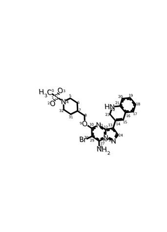 CS(=O)(=O)N1CCC(COc2nc3c(C4=Cc5ccccc5NC4)cnn3c(N)c2Br)CC1